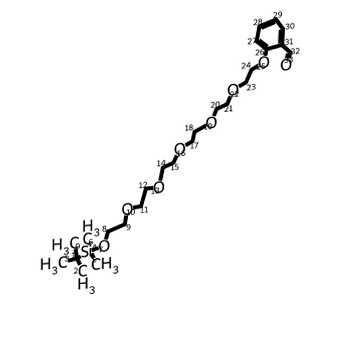 CC(C)(C)[Si](C)(C)OCCOCCOCCOCCOCCOCCOc1ccccc1C=O